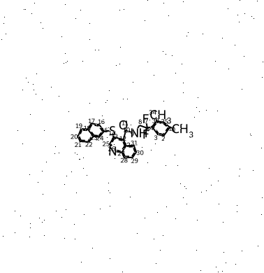 Cc1ccc(C(F)(F)CNC(=O)c2c(Sc3ccc4ccccc4c3)cnc3ccccc23)c(C)c1